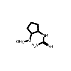 N=C(N)NC1CCCC1OC=O